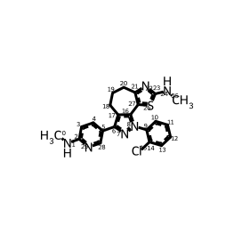 CNc1ccc(-c2nn(-c3ccccc3Cl)c3c2CCCc2nc(NC)sc2-3)cn1